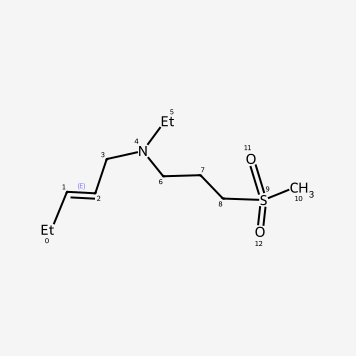 CC/C=C/CN(CC)CCCS(C)(=O)=O